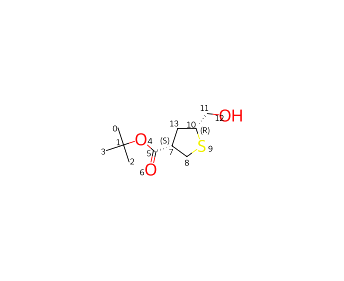 CC(C)(C)OC(=O)[C@H]1CS[C@@H](CO)C1